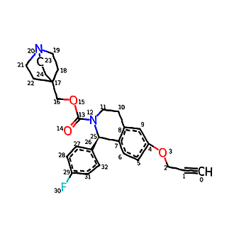 C#CCOc1ccc2c(c1)CCN(C(=O)OCC13CCN(CC1)CC3)[C@@H]2c1ccc(F)cc1